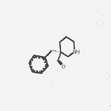 O=[C][C@@]1(Cc2ccccc2)CCCNC1